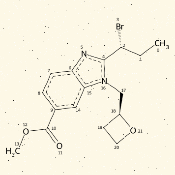 CC[C@@H](Br)c1nc2ccc(C(=O)OC)cc2n1C[C@@H]1CCO1